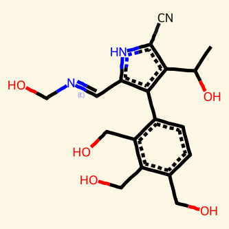 CC(O)c1c(C#N)[nH]c(/C=N/CO)c1-c1ccc(CO)c(CO)c1CO